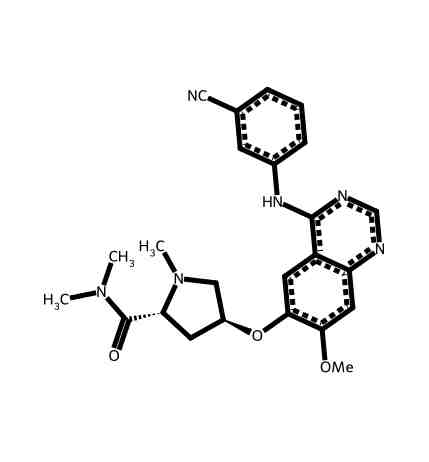 COc1cc2ncnc(Nc3cccc(C#N)c3)c2cc1O[C@H]1C[C@H](C(=O)N(C)C)N(C)C1